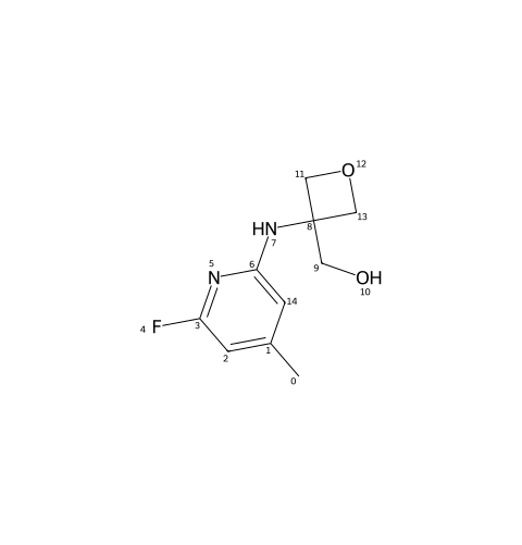 Cc1cc(F)nc(NC2(CO)COC2)c1